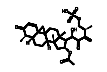 C=C(C(=O)[C@H](O)C1[C@@H](OC(C)=O)C[C@@]2(C)[C@@H]3CC[C@H]4[C@H](C)C(=O)C=C[C@@]45C[C@@]35CC[C@]12C)[C@@H](C)COS(=O)(=O)O